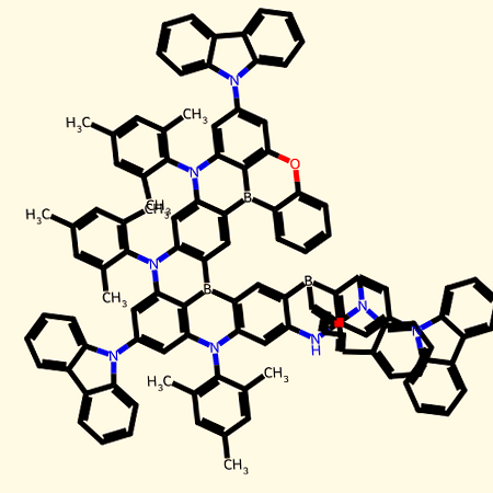 Cc1cc(C)c(N2c3cc4c(cc3B3c5ccccc5Oc5cc(-n6c7ccccc7c7ccccc76)cc2c53)B2c3cc5c(cc3N(c3c(C)cc(C)cc3C)c3cc(-n6c7ccccc7c7ccccc76)cc(c32)N4c2c(C)cc(C)cc2C)Nc2cc(-n3c4ccccc4c4ccccc43)cc3c2B5c2cccc4c5ccccc5n-3c24)c(C)c1